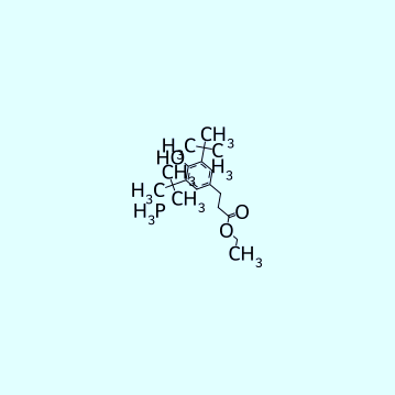 CCOC(=O)CCc1cc(C(C)(C)C)c(O)c(C(C)(C)C)c1.P